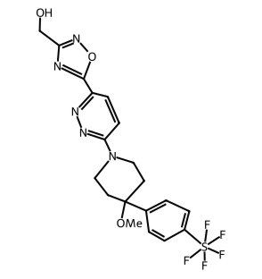 COC1(c2ccc(S(F)(F)(F)(F)F)cc2)CCN(c2ccc(-c3nc(CO)no3)nn2)CC1